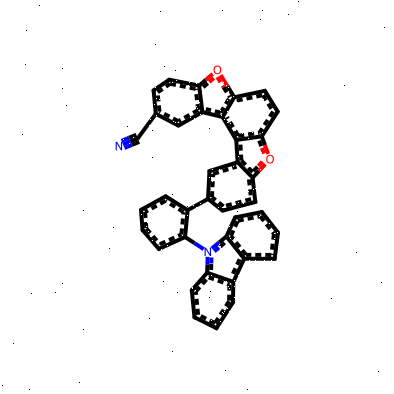 N#Cc1ccc2oc3ccc4oc5ccc(-c6ccccc6-n6c7ccccc7c7ccccc76)cc5c4c3c2c1